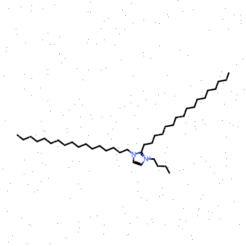 CCCCCCCCCCCCCCCCCc1n(CCCCCCCCCCCCCCCCC)cc[n+]1CCCC